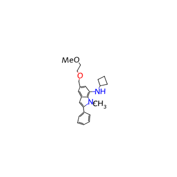 COCCOCc1cc(NC2CCC2)c2c(c1)cc(-c1ccccc1)n2C